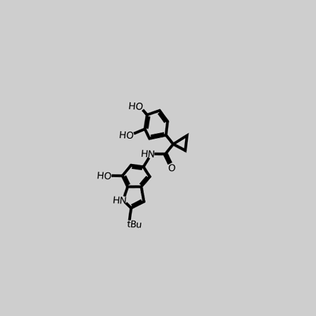 CC(C)(C)c1cc2cc(NC(=O)C3(c4ccc(O)c(O)c4)CC3)cc(O)c2[nH]1